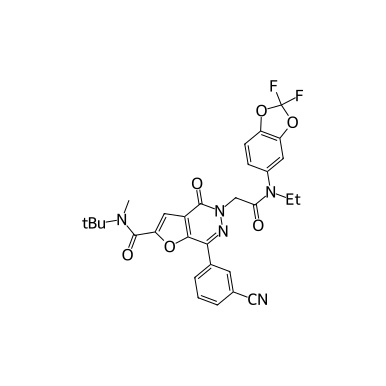 CCN(C(=O)Cn1nc(-c2cccc(C#N)c2)c2oc(C(=O)N(C)C(C)(C)C)cc2c1=O)c1ccc2c(c1)OC(F)(F)O2